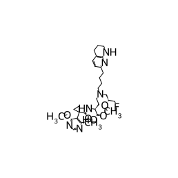 COc1ncnc(C)c1C1(C(=O)N[C@@H](CCN(CCCCc2ccc3c(n2)NCCC3)C[C@@H](CF)OC)C(=O)O)CC1